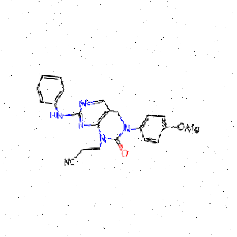 COc1ccc(N2Cc3cnc(Nc4ccccc4)nc3N(CCC#N)C2=O)cc1